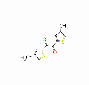 Cc1csc(C(=O)C(=O)c2cc(C)cs2)c1